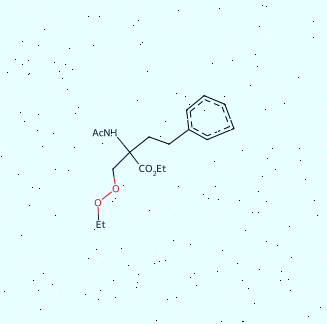 CCOOCC(CCc1ccccc1)(NC(C)=O)C(=O)OCC